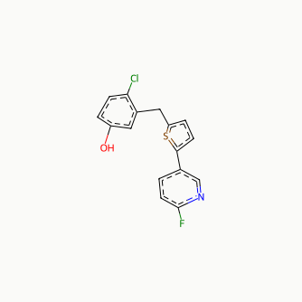 Oc1ccc(Cl)c(Cc2ccc(-c3ccc(F)nc3)s2)c1